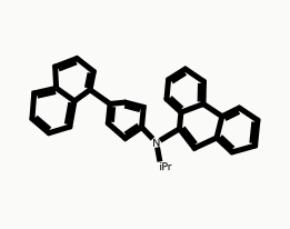 CC(C)N(c1ccc(-c2cccc3ccccc23)cc1)c1cc2ccccc2c2ccccc12